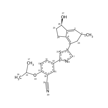 CC1C=C2C(=C(c3cnc(-c4ccc(OC(C)C)c(C#N)c4)s3)C1)CC[C@H]2O